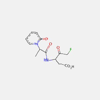 CC(C(=O)NC(CC(=O)O)C(=O)CF)n1ccccc1=O